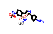 CN(c1ccc(-c2cnc(-c3ccc(N)cc3)s2)c(S(=O)(=O)NC(C)(C)C)c1)S(C)(=O)=O